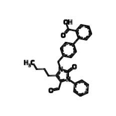 CCCCc1c(C=O)n(-c2ccccc2)c(=O)n1Cc1ccc(-c2ccccc2C(=O)O)cc1